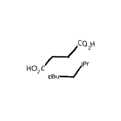 CC(C)CC(C)(C)C.O=C(O)CCC(=O)O